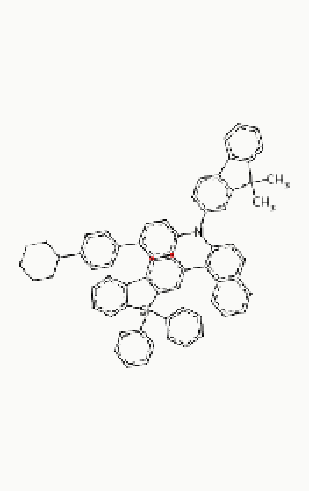 CC1(C)c2ccccc2-c2ccc(N(c3ccc(-c4ccc(C5CCCCC5)cc4)cc3)c3ccc4ccccc4c3-c3ccc4c(c3)[Si](c3ccccc3)(c3ccccc3)c3ccccc3-4)cc21